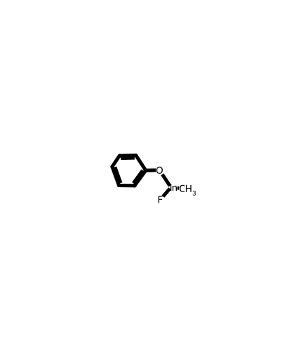 [CH3][In]([F])[O]c1ccccc1